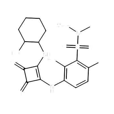 CON(C)S(=O)(=O)c1c(Cl)ccc(Nc2c(NC3CCCCC3O)c(=O)c2=O)c1O